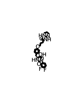 O=C(CCCOc1ccc(C[C@H](Nc2nc3ccc(F)c(F)c3o2)C(=O)O)cc1)NC1=NCCCN1